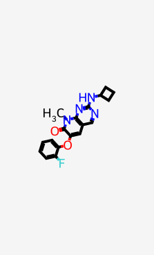 Cn1c(=O)c(Oc2ccccc2F)cc2cnc(NC3CCC3)nc21